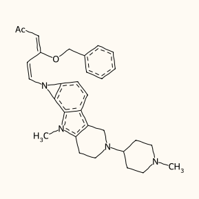 CC(=O)/C=C(\C=C/N1c2ccc3c4c(n(C)c3c21)CCN(C1CCN(C)CC1)C4)OCc1ccccc1